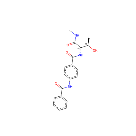 CNC(=O)[C@@H](NC(=O)c1ccc(NC(=O)c2ccccc2)cc1)[C@@H](C)O